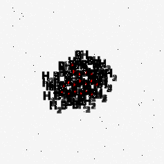 BBB(B)B(B(B(B)B)B(B)B)B(B(B)B(B(B)B)B(B(B)B)B(B(B(B)BB)B(B(B)B)B(B)B)B(B(B)BB)B(B(B)B)B(B)B)B(B(B)BB)B(B(B)B)B(B)B